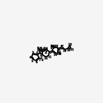 NC1c2ccccc2C[C@]12CC[C@@H](c1cnc(SCC3CC3)cn1)CC2